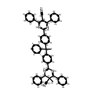 CC(c1ccccc1)(c1ccc(C2=NC(c3ccccc3)C(C)(C#N)C(c3ccccc3)=N2)cc1)c1ccc(-c2nc(-c3ccccc3)c(C#N)c(-c3ccccc3)n2)cc1